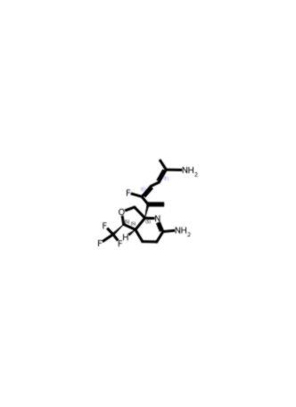 C=C(/C(F)=C\C=C(/C)N)[C@]12CO[C@H](C(F)(F)F)[C@H]1CCC(N)=N2